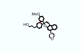 COc1ccc(C2(c3ccc(CCCO)cc3)C=Cc3c(cc(N4CCOCC4)c4ccccc34)O2)cc1